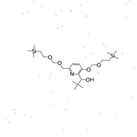 CC(C)(C)C(O)c1nc(COCOCC[Si](C)(C)C)ccc1OCOCC[Si](C)(C)C